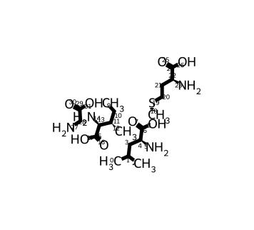 CC(C)C[C@H](N)C(=O)O.CC[C@H](C)[C@H](N)C(=O)O.CSCC[C@H](N)C(=O)O.NCC(=O)O